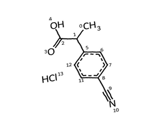 CC(C(=O)O)c1ccc(C#N)cc1.Cl